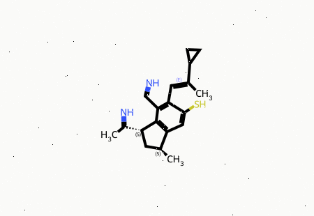 CC(=N)[C@H]1C[C@H](C)c2cc(S)c(/C=C(\C)C3CC3)c(C=N)c21